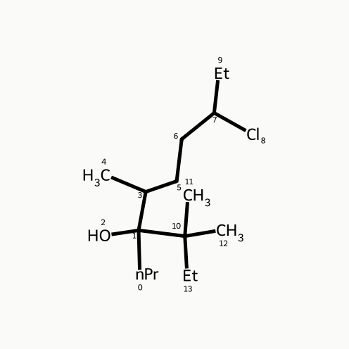 CCCC(O)(C(C)CCC(Cl)CC)C(C)(C)CC